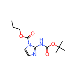 CCCOC(=O)n1ccnc1NC(=O)OC(C)(C)C